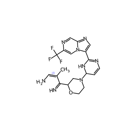 C/C(=C/N)C(=N)C1CN(C2C=CN=C(c3cnc4cnc(C(F)(F)F)cn34)N2)CCO1